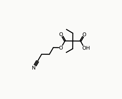 CCC(CC)(C(=O)O)C(=O)OCCCC#N